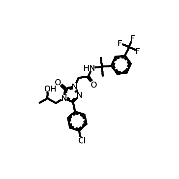 CC(O)Cn1c(-c2ccc(Cl)cc2)nn(CC(=O)NC(C)(C)c2cccc(C(F)(F)F)c2)c1=O